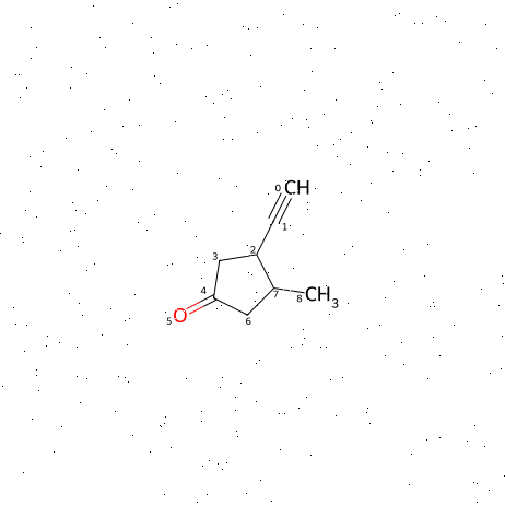 C#CC1CC(=O)CC1C